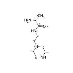 C[C@@H](N)C(=O)NCCN1CCNCC1